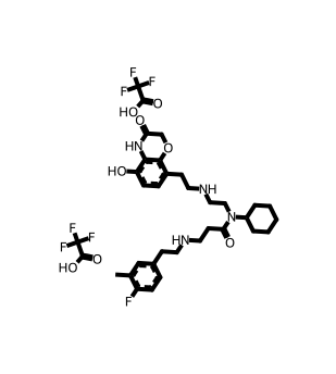 Cc1cc(CCNCCC(=O)N(CCNCCc2ccc(O)c3c2OCC(=O)N3)C2CCCCC2)ccc1F.O=C(O)C(F)(F)F.O=C(O)C(F)(F)F